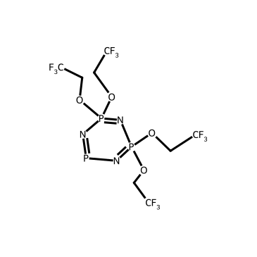 FC(F)(F)COP1(OCC(F)(F)F)=NP=NP(OCC(F)(F)F)(OCC(F)(F)F)=N1